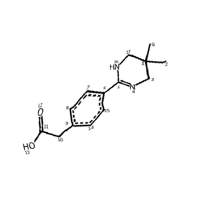 CC1(C)CN=C(c2ccc(CC(=O)O)cc2)NC1